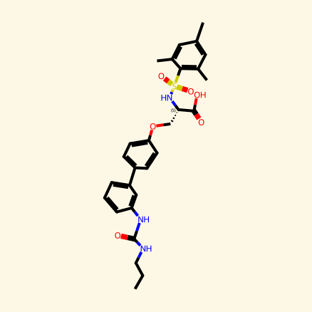 CCCNC(=O)Nc1cccc(-c2ccc(OC[C@H](NS(=O)(=O)c3c(C)cc(C)cc3C)C(=O)O)cc2)c1